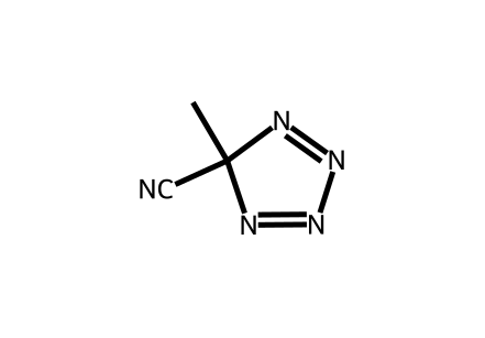 CC1(C#N)N=NN=N1